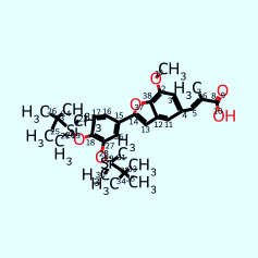 COc1cc(/C=C(\C)C(=O)O)cc2cc(-c3ccc(O[Si](C)(C)C(C)(C)C)c(O[Si](C)(C)C(C)(C)C)c3)oc12